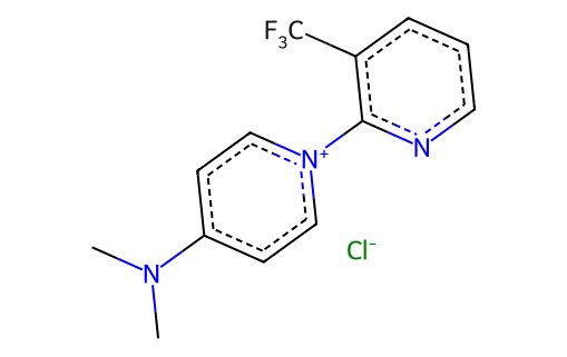 CN(C)c1cc[n+](-c2ncccc2C(F)(F)F)cc1.[Cl-]